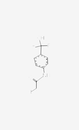 CC(F)(F)c1ccc(NC(=O)CI)cc1